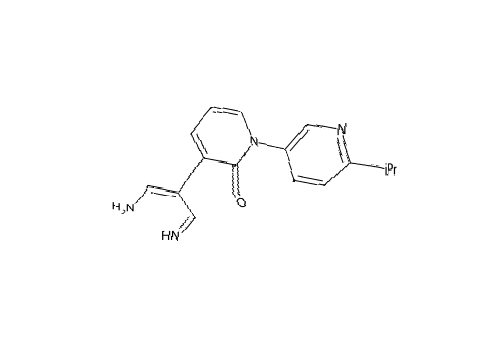 CC(C)c1ccc(-n2cccc(/C(C=N)=C/N)c2=O)cn1